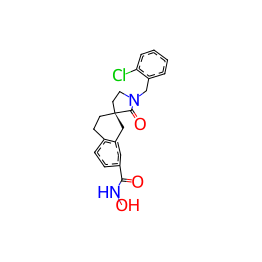 O=C(NO)c1ccc2c(c1)C[C@@]1(CC2)CCN(Cc2ccccc2Cl)C1=O